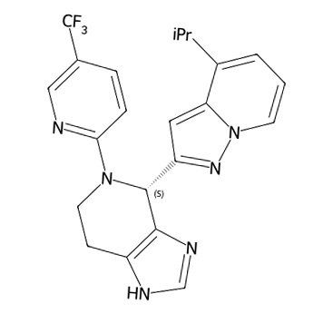 CC(C)c1cccn2nc([C@@H]3c4nc[nH]c4CCN3c3ccc(C(F)(F)F)cn3)cc12